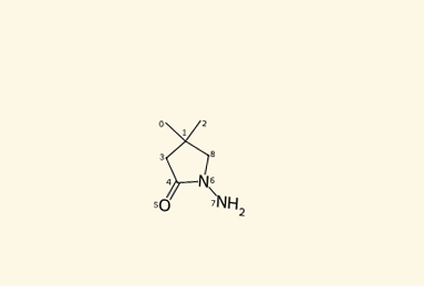 CC1(C)CC(=O)N(N)C1